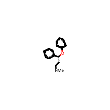 CNCC[C@@H](Oc1ccccc1)c1ccccc1